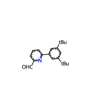 CC(C)(C)c1cc(-c2cccc(C=O)n2)cc(C(C)(C)C)c1